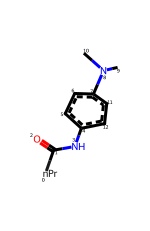 CCCC(=O)Nc1ccc(N(C)C)cc1